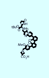 COc1nc(-c2cccc(-c3cccc(-c4ccn5c(=O)c(CN[C@H](C(=O)OC(C)(C)C)[C@@H]6CCC(=O)N6)cnc5c4)c3Cl)c2Cl)ccc1CN1CC(C(=O)O)C1